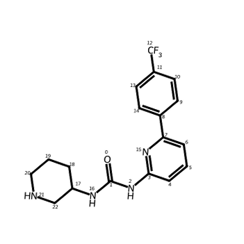 O=C(Nc1cccc(-c2ccc(C(F)(F)F)cc2)n1)NC1CCCNC1